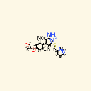 N#Cc1c(N)nc(SCc2cccnn2)c(C#N)c1-c1ccc(OC2COC2)cc1